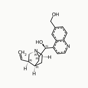 C=C[C@H]1C[N@]2CC[C@@H]1C[C@@H]2[C@@H](O)c1ccnc2ccc(CO)cc12